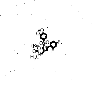 CN(Cc1cc(-c2ccc(F)cc2F)n(S(=O)(=O)c2ccc3c(c2)OCO3)c1)C(=O)OC(C)(C)C